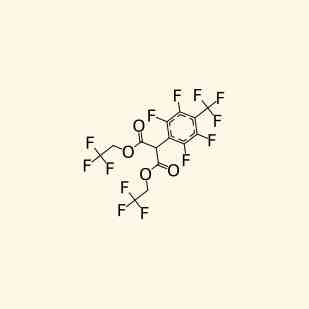 O=C(OCC(F)(F)F)C(C(=O)OCC(F)(F)F)c1c(F)c(F)c(C(F)(F)F)c(F)c1F